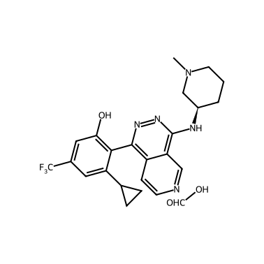 CN1CCC[C@@H](Nc2nnc(-c3c(O)cc(C(F)(F)F)cc3C3CC3)c3ccncc23)C1.O=CO